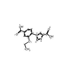 CCOc1cc(C(=O)O)ccc1-n1cc(C(=O)O)nn1